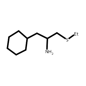 CCSCC(N)CC1CCCCC1